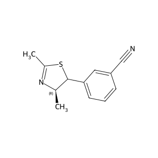 CC1=N[C@H](C)C(c2cccc(C#N)c2)S1